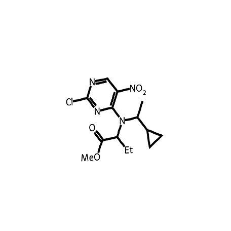 CCC(C(=O)OC)N(c1nc(Cl)ncc1[N+](=O)[O-])C(C)C1CC1